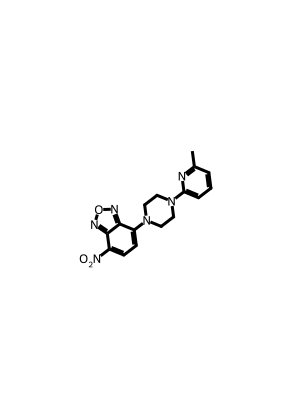 Cc1cccc(N2CCN(c3ccc([N+](=O)[O-])c4nonc34)CC2)n1